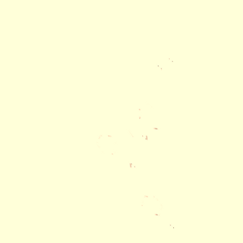 N#Cc1ccc(CCNCC(C(=O)NC2=C/CC/C=C(OC3CCN(C#N)CC3)/C=C\2)c2ccccc2)cc1